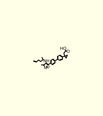 C=CCCC(C)Nc1c(C)noc1-c1ccc(-c2ccc(C3(CC(=O)O)CC3)cc2)cc1